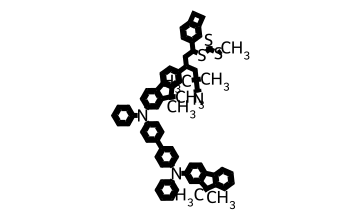 CSC(=S)SC(CC(CC(C)(C)C#N)c1ccc2c(c1)C(C)(C)c1cc(N(c3ccccc3)c3ccc(-c4ccc(N(c5ccccc5)c5ccc6c(c5)C(C)(C)c5ccccc5-6)cc4)cc3)ccc1-2)c1ccc2c(c1)CC2